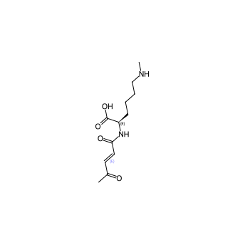 CNCCCC[C@@H](NC(=O)/C=C/C(C)=O)C(=O)O